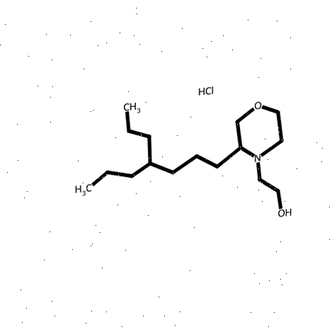 CCCC(CCC)CCCC1COCCN1CCO.Cl